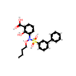 CCCCON(c1cccc(C(=O)O)c1O)S(=O)(=O)c1cccc(-c2ccccc2)c1